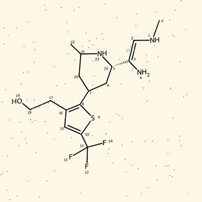 CN/C=C(\N)[C@@H]1CC(c2sc(C(F)(F)F)cc2CCO)CC(C)N1